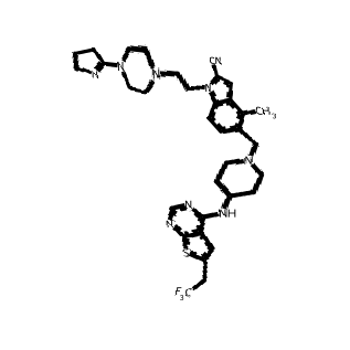 Cc1c(CN2CCC(Nc3ncnc4sc(CC(F)(F)F)cc34)CC2)ccc2c1cc(C#N)n2CCN1CCN(C2=NCCC2)CC1